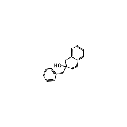 OC1(Cc2ccccc2)C=Cc2ccccc2C1